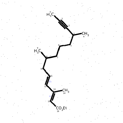 CC#CC(C)CCCC(C)C/C=C/C(C)=C/C(=O)OCC